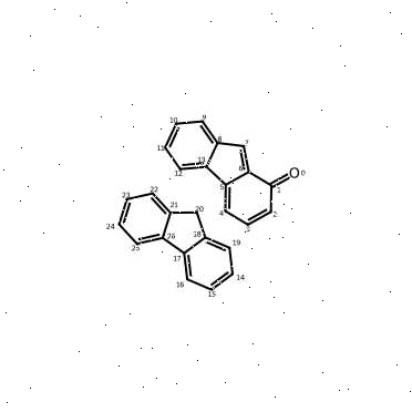 O=C1C=CC=C2C1=Cc1ccccc12.c1ccc2c(c1)Cc1ccccc1-2